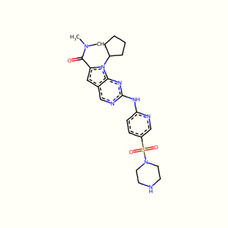 CN(C)C(=O)c1cc2cnc(Nc3ccc(S(=O)(=O)N4CCNCC4)cn3)nc2n1C1CCCC1